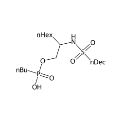 CCCCCCCCCCS(=O)(=O)NC(CCCCCC)COP(=O)(O)CCCC